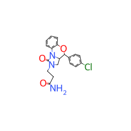 NC(=O)CCN1CC2C(c3ccc(Cl)cc3)Oc3ccccc3N2C1=O